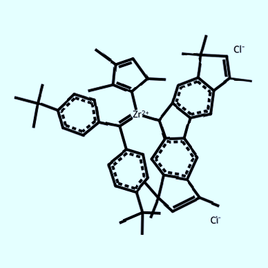 CC1=CC(C)[C]([Zr+2](=[C](c2ccc(C(C)(C)C)cc2)c2ccc(C(C)(C)C)cc2)[CH]2c3cc4c(cc3-c3cc5c(cc32)C(C)(C)C=C5C)C(C)=CC4(C)C)=C1C.[Cl-].[Cl-]